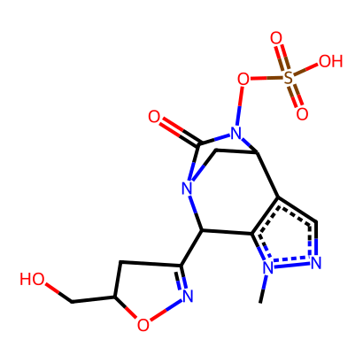 Cn1ncc2c1C(C1=NOC(CO)C1)N1CC2N(OS(=O)(=O)O)C1=O